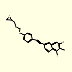 Fc1cc2cc(C#Cc3ccc(OCOCC4CO4)cc3)ccc2c(F)c1F